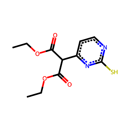 CCOC(=O)C(C(=O)OCC)c1ccnc(S)n1